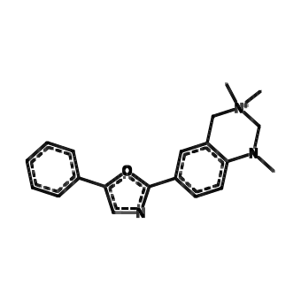 CN1C[N+](C)(C)Cc2cc(-c3ncc(-c4ccccc4)o3)ccc21